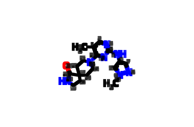 Cc1cnc(Nc2cnn(C)c2)nc1N1CCC2(CCNC2=O)CC1